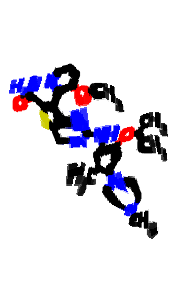 COc1cccnc1-c1c(C(N)=O)sc2cnc(Nc3cc(C)c(N4CCN(C)CC4)cc3OC(C)C)nc12